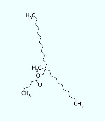 CCCCCCCCCCCCC(C)(CCCCCCCCCC)COC(=O)CCCC